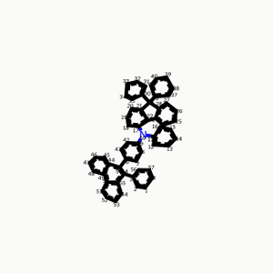 c1ccc(-c2c(-c3ccc(N(c4ccccc4)c4cccc5c4-c4ccccc4C5(c4ccccc4)c4ccccc4)cc3)c3ccccc3c3ccccc23)cc1